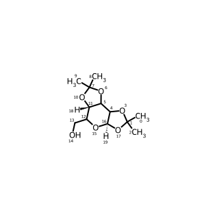 CC1(C)OC2C3OC(C)(C)O[C@H]3C(CO)O[C@@H]2O1